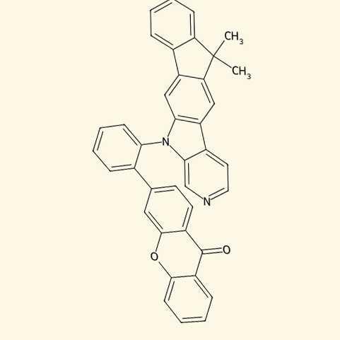 CC1(C)c2ccccc2-c2cc3c(cc21)c1ccncc1n3-c1ccccc1-c1ccc2c(=O)c3ccccc3oc2c1